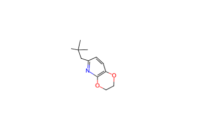 CC(C)(C)Cc1ccc2c(n1)OCCO2